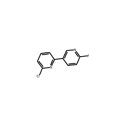 Fc1ccc(-c2[c]ccc(Cl)n2)cn1